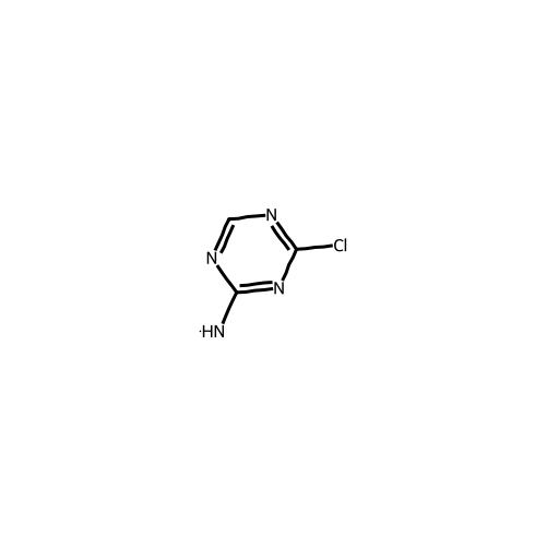 [NH]c1ncnc(Cl)n1